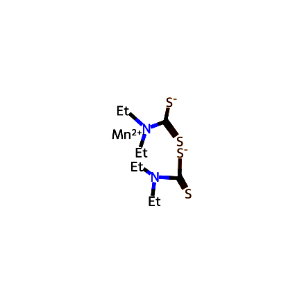 CCN(CC)C(=S)[S-].CCN(CC)C(=S)[S-].[Mn+2]